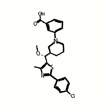 CO[C@@H](c1sc(-c2ccc(Cl)cc2)nc1C)C1CCCN(c2cccc(C(=O)O)c2)C1